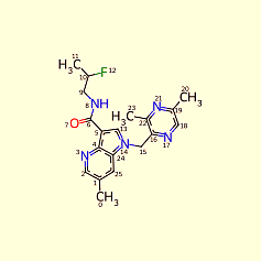 Cc1cnc2c(C(=O)NCC(C)F)cn(Cc3ncc(C)nc3C)c2c1